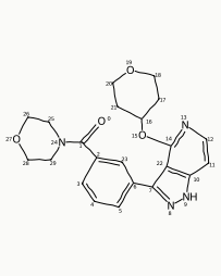 O=C(c1cccc(-c2n[nH]c3ccnc(OC4CCOCC4)c23)c1)N1CCOCC1